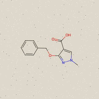 Cn1cc(C(=O)O)c(OCc2ccccc2)n1